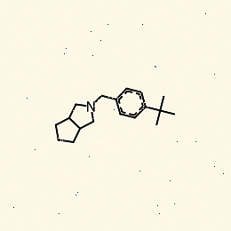 CC(C)(C)c1ccc(CN2CC3CCCC3C2)cc1